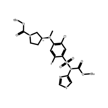 CN(c1cc(F)c(S(=O)(=O)N(C(=O)OC(C)(C)C)c2cscn2)cc1Cl)[C@H]1CCN(C(=O)OC(C)(C)C)C1